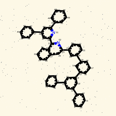 c1ccc(-c2cc(-c3ccccc3)cc(-c3cccc(-c4cccc(-c5cc6ccccc6c(-c6cc(-c7ccccc7)cc(-c7ccccc7)n6)n5)c4)c3)c2)cc1